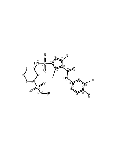 CC(C)NS(=O)(=O)N1CCCC(NS(=O)(=O)c2cn(C)c(C(=O)Nc3ccc(F)c(F)c3)c2F)C1